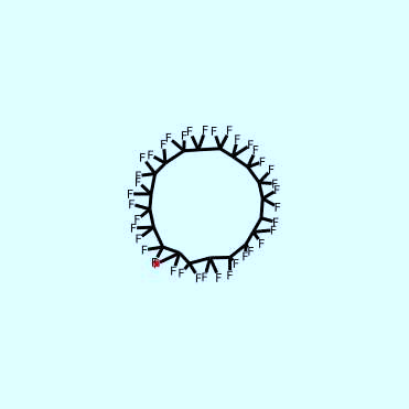 FC1C(F)(F)C(F)(F)C(F)(F)C(F)(F)C(F)(F)C(F)(F)C(F)(F)C(F)(F)C(F)(F)C(F)(F)C(F)(F)C(F)(F)C(F)(F)C(F)(F)C(F)(F)C(F)(F)C(F)(F)C(F)(F)C1(F)F